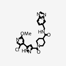 COc1cc(-c2cc(C(=O)N3CCC(C(=O)NCc4ccc5ncnn5c4)CC3)n[nH]2)c(Cl)cn1